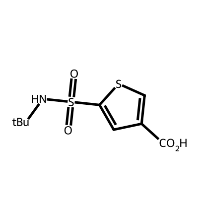 CC(C)(C)NS(=O)(=O)c1cc(C(=O)O)cs1